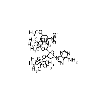 COc1ccc(CC(O[Si](C)(C)C(C)(C)C)[C@H]2O[C@@H](n3cnc4c(N)ncnc43)C[C@@H]2O[Si](C)(C)C(C)(C)C)c([N+](=O)[O-])c1